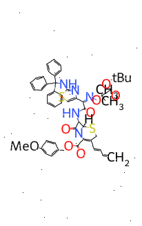 C=C/C=C/C1=C(C(=O)OCc2ccc(OC)cc2)N2C(=O)[C@@H](NC(=O)/C(=N\OC(C)(C)C(=O)OC(C)(C)C)c3csc(NC(c4ccccc4)(c4ccccc4)c4ccccc4)n3)[C@@H]2SC1